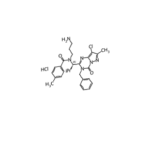 Cc1ccc(C(=O)N(CCCN)[C@@H](c2nc3c(Cl)c(C)nn3c(=O)n2Cc2ccccc2)C(C)C)cc1.Cl